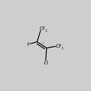 F/C(=C(\Cl)C(F)(F)F)C(F)(F)F